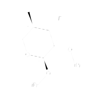 CC(C)O[C@H]1OC[C@@H](C)[C@H](F)[C@@H]1OC(C)C